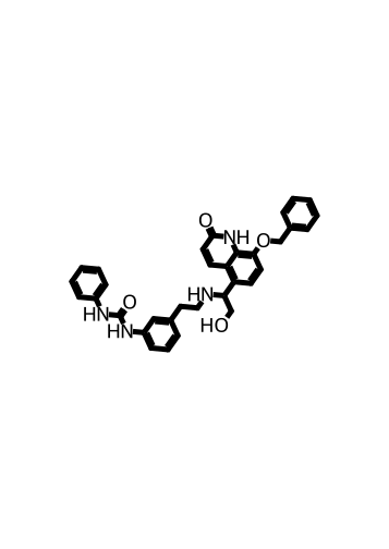 O=C(Nc1ccccc1)Nc1cccc(CCNC(CO)c2ccc(OCc3ccccc3)c3[nH]c(=O)ccc23)c1